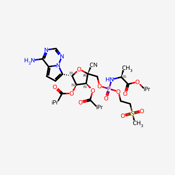 CC(C)OC(=O)[C@H](C)NP(=O)(OCCS(C)(=O)=O)OC[C@@]1(C#N)O[C@@H](c2ccc3c(N)ncnn23)[C@H](OC(=O)C(C)C)[C@@H]1OC(=O)C(C)C